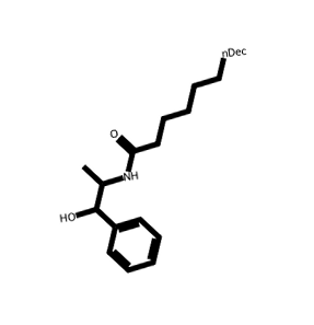 CCCCCCCCCCCCCCCC(=O)NC(C)C(O)c1ccccc1